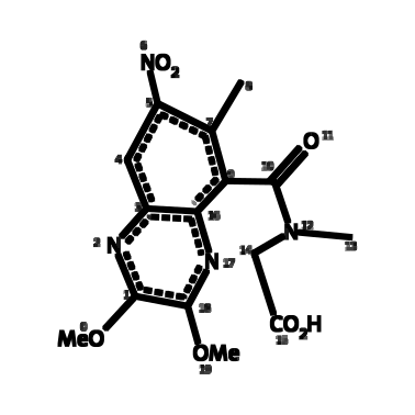 COc1nc2cc([N+](=O)[O-])c(C)c(C(=O)N(C)CC(=O)O)c2nc1OC